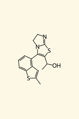 Cc1cc2c(C3=C(C(C)O)SC4=NCCN43)cccc2s1